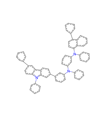 c1ccc(-c2ccc3c(c2)c2ccc(-c4cccc(N(c5ccccc5)c5cccc(N(c6ccccc6)c6ccc(-c7ccccc7)c7ccccc67)c5)c4)cc2n3-c2ccccc2)cc1